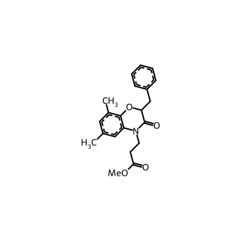 COC(=O)CCN1C(=O)C(Cc2ccccc2)Oc2c(C)cc(C)cc21